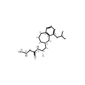 CC(C)Cc1cccc2c1CN(C[C@H](C)NC(=O)CNO)CCC2